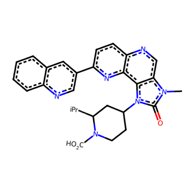 CC(C)C1CC(n2c(=O)n(C)c3cnc4ccc(-c5cnc6ccccc6c5)nc4c32)CCN1C(=O)O